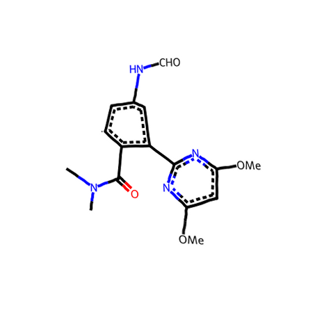 COc1cc(OC)nc(-c2cc(NC=O)c[c]c2C(=O)N(C)C)n1